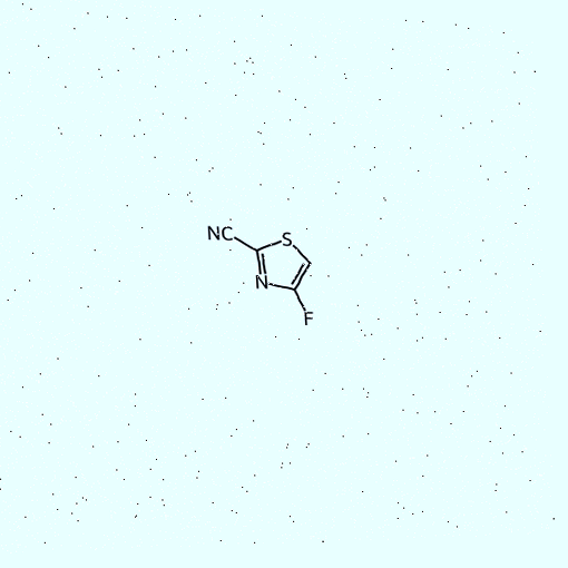 N#Cc1nc(F)cs1